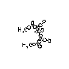 Cc1ccc(-n2c3ccccc3c3cc(N(c4ccc(-c5ccccc5)cc4)c4ccc(-c5c6ccccc6c(N(c6ccc(-c7ccccc7)cc6)c6ccc7c(c6)c6ccccc6n7-c6ccc(C)cc6)c6ccccc56)cc4)ccc32)cc1